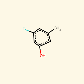 Bc1cc(O)cc(F)c1